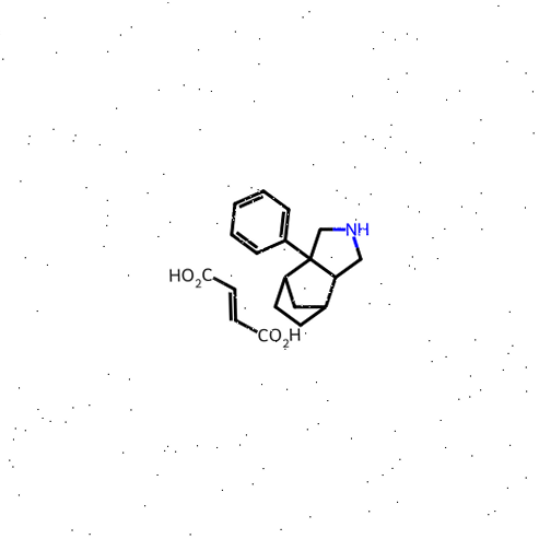 O=C(O)C=CC(=O)O.c1ccc(C23CNCC2C2CCC3C2)cc1